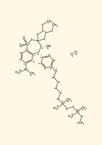 CCCCC1(CCCC)CS(=O)(=O)c2ccc(N(C)C)cc2[C@@H](c2ccc(OCCCCC[N+](C)(C)CC[N+](C)(C)CC)cc2)[C@H]1O.[Cl-].[Cl-]